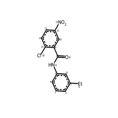 CCc1cccc(NC(=O)c2cc([N+](=O)[O-])ccc2Cl)c1